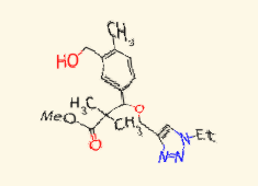 CCn1cc(COC(c2ccc(C)c(CO)c2)C(C)(C)C(=O)OC)nn1